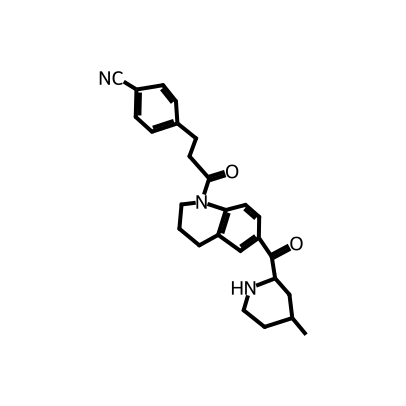 CC1CCNC(C(=O)c2ccc3c(c2)CCCN3C(=O)CCc2ccc(C#N)cc2)C1